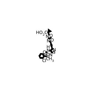 CC(OC(=O)Nc1c(C#Cc2nc3nc(C4(C(=O)O)CC4)oc3o2)nsc1N)c1ccccc1Cl